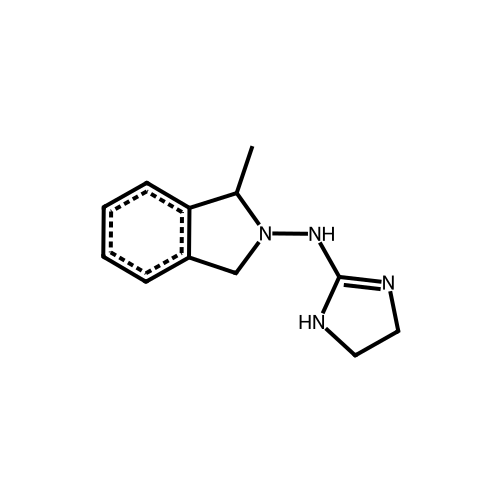 CC1c2ccccc2CN1NC1=NCCN1